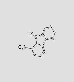 O=[N+]([O-])c1cccc2c3ncncc3[s+]([O-])c12